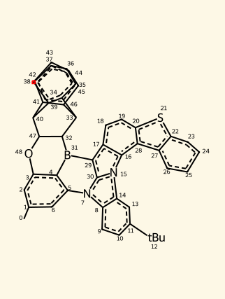 Cc1cc2c3c(c1)-n1c4ccc(C(C)(C)C)cc4n4c5c(ccc6sc7ccccc7c65)c(c14)B3C1C3c4ccccc4C(c4ccccc43)C1O2